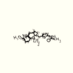 COc1ccc(C)nc1CC1CCN(Cc2cnc(NC(C)=O)s2)C1